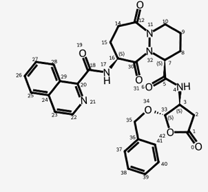 O=C1C[C@H](NC(=O)[C@@H]2CCCN3C(=O)CC[C@H](NC(=O)c4nccc5ccccc45)C(=O)N23)[C@@H](OCc2ccccc2)O1